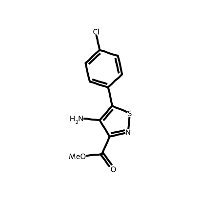 COC(=O)c1nsc(-c2ccc(Cl)cc2)c1N